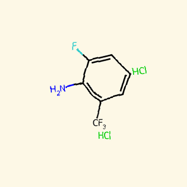 Cl.Cl.Nc1c(F)cccc1C(F)(F)F